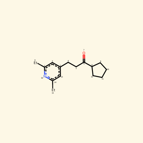 CCc1cc(CCC(=O)C2CCCC2)cc(CC)n1